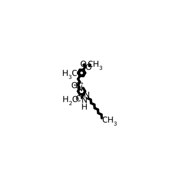 C=C=C1NC(CCCCCCCCC)=NC12CCN([S@@+]([O-])CCc1ccc(C(=O)OC)cc1C)CC2